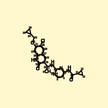 C[C@H](Nc1nccc(NC(=O)C2CC2)n1)c1cc2cc(Cl)c(OCC3CC3)cc2[nH]c1=O